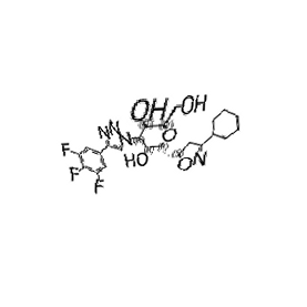 OC[C@H]1O[C@H](C[C@@H]2CC(C3CCCCC3)=NO2)[C@H](O)[C@@H](n2cc(-c3cc(F)c(F)c(F)c3)nn2)[C@H]1O